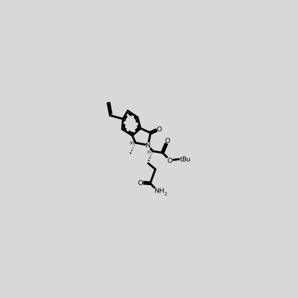 C=Cc1ccc2c(c1)[C@@H](C)N([C@@H](CCC(N)=O)C(=O)OC(C)(C)C)C2=O